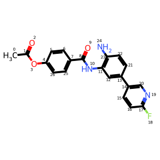 CC(=O)Oc1ccc(C(=O)Nc2cc(-c3ccc(F)nc3)ccc2N)cc1